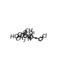 COc1cc(-n2ncc(C#Cc3cccc(Cl)c3)cc2=O)ccc1OCC(C)(C)O